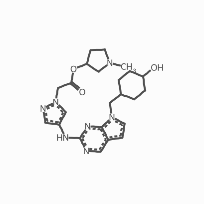 CN1CCC(OC(=O)Cn2cc(Nc3ncc4ccn(CC5CCC(O)CC5)c4n3)cn2)C1